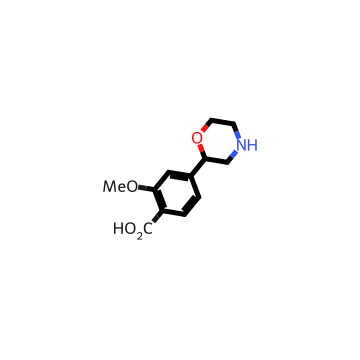 COc1cc(C2CNCCO2)ccc1C(=O)O